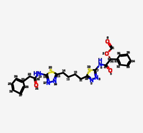 O=CO[C@@H](C(=O)Nc1nnc(CCCCc2nnc(NC(=O)Cc3ccccc3)s2)s1)c1ccccc1